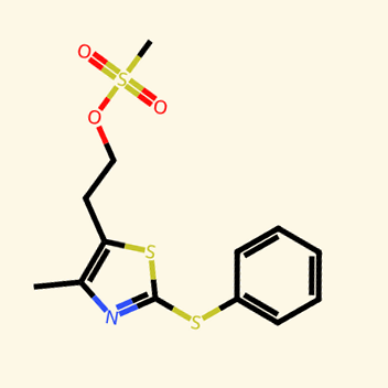 Cc1nc(Sc2ccccc2)sc1CCOS(C)(=O)=O